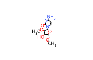 COC[C@H]1O[C@@H](n2ccc(N)nc2=O)[C@H](OC)[C@@H]1O